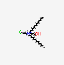 C=CC[N+](C)(CCCCCCCCCCCC)C(CCCO)CCCCCCCCCCCC.[Cl-]